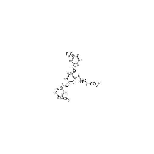 O=C(O)CON=Cc1cc(OCc2cccc(C(F)(F)F)c2)ccc1OCc1cccc(C(F)(F)F)c1